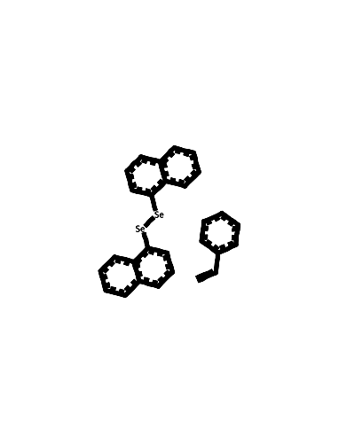 C=Cc1ccccc1.c1ccc2c([Se][Se]c3cccc4ccccc34)cccc2c1